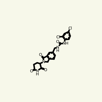 O=C1CCC(N2Cc3ccc(CNC(=O)Nc4ccc(Cl)cc4Cl)cc3C2=O)C(=O)N1